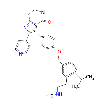 CNCCc1cc(COc2ccc(-c3c(-c4ccncc4)nn4c3C(=O)NCC4)cc2)ccc1C(C)C